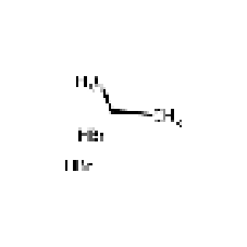 Br.Br.CCC